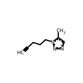 C#CCCCn1nncc1C